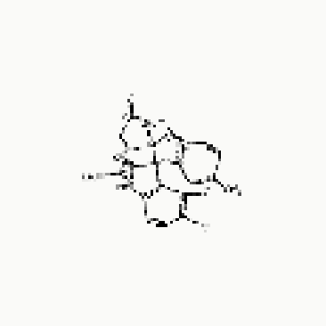 CNC(=O)[C@@H]1C[C@@H](F)C[N+]1(C)C1(c2cc(C)ccc2OC)C(=O)Nc2ccc(Cl)c(Cl)c21